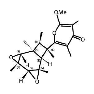 COc1oc([C@]2(C)[C@H]3[C@]4(C)O[C@@H]4[C@]4(C)O[C@@H]4[C@@]3(C)[C@H]2C)c(C)c(=O)c1C